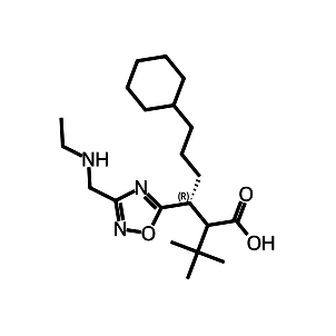 CCNCc1noc([C@H](CCCC2CCCCC2)C(C(=O)O)C(C)(C)C)n1